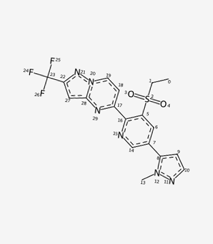 CCS(=O)(=O)c1cc(-c2ccnn2C)cnc1-c1ccn2nc(C(F)(F)F)cc2n1